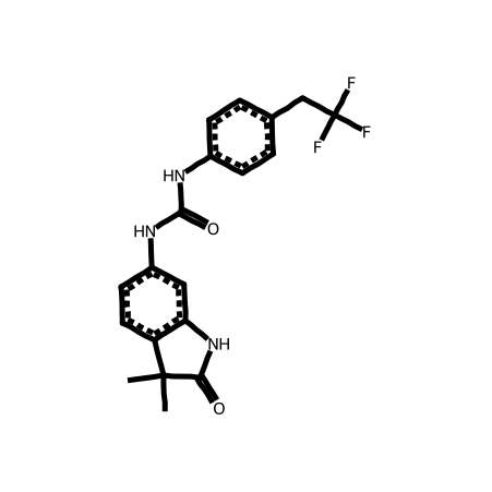 CC1(C)C(=O)Nc2cc(NC(=O)Nc3ccc(CC(F)(F)F)cc3)ccc21